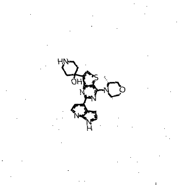 C[C@@H]1COCCN1c1nc(-c2ccnc3[nH]ccc23)nc2c(C3(O)CCNCC3)csc12